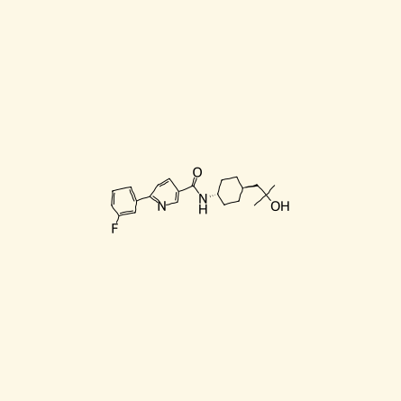 CC(C)(O)C[C@H]1CC[C@H](NC(=O)c2ccc(-c3cccc(F)c3)nc2)CC1